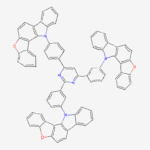 c1cc(-c2cc(-c3ccc(-n4c5ccccc5c5ccc6oc7ccccc7c6c54)cc3)nc(-c3cccc(-n4c5ccccc5c5ccc6oc7ccccc7c6c54)c3)n2)cc(-n2c3ccccc3c3ccc4oc5ccccc5c4c32)c1